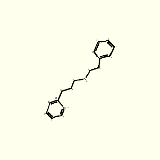 c1ccc(CCSCCCc2ccccn2)cc1